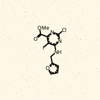 COC(=O)c1nc(Cl)nc(NCc2ccco2)c1I